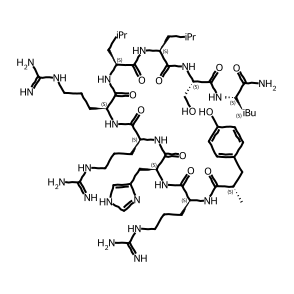 CC[C@H](C)[C@H](NC(=O)[C@H](CO)NC(=O)[C@H](CC(C)C)NC(=O)[C@H](CC(C)C)NC(=O)[C@H](CCCNC(=N)N)NC(=O)[C@H](CCCNC(=N)N)NC(=O)[C@H](Cc1c[nH]cn1)NC(=O)[C@H](CCCNC(=N)N)NC(=O)[C@@H](C)Cc1ccc(O)cc1)C(N)=O